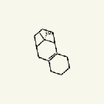 CS[C@@]1(C)C2CCCC1C1=C(CCCC1)C2